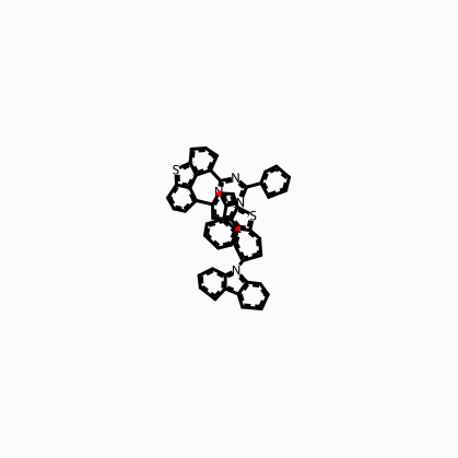 c1ccc(-c2nc(-c3ccccc3)nc(-c3cccc4sc5cccc(-c6ccc7sc8ccc(-n9c%10ccccc%10c%10ccccc%109)cc8c7c6)c5c34)n2)cc1